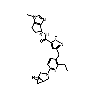 CCc1nc(N2CC3C[C@H]3C2)ccc1Cc1cc(C(=O)N[C@@H]2CCc3c2ncn3C)[nH]n1